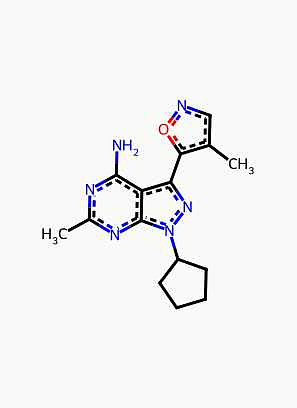 Cc1nc(N)c2c(-c3oncc3C)nn(C3CCCC3)c2n1